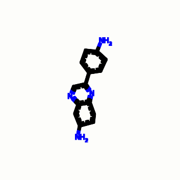 Nc1ccc(-c2cnc3cc(N)ccc3n2)cc1